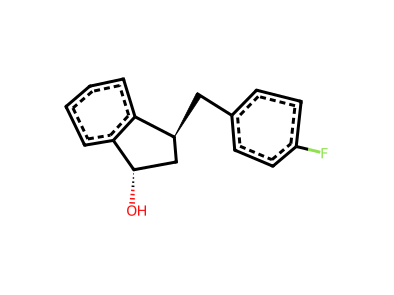 O[C@H]1C[C@H](Cc2ccc(F)cc2)c2ccccc21